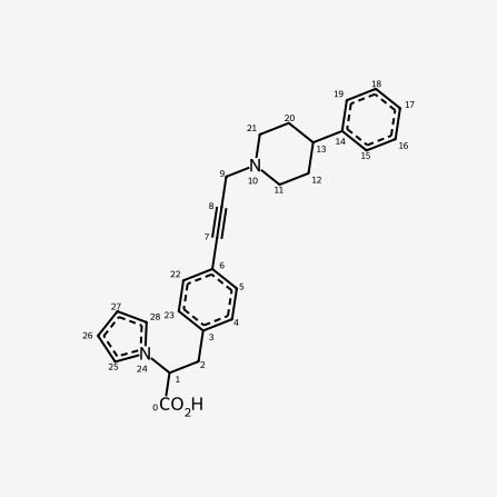 O=C(O)C(Cc1ccc(C#CCN2CCC(c3ccccc3)CC2)cc1)n1cccc1